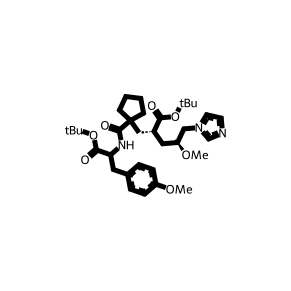 COc1ccc(CC(NC(=O)C2(C[C@@H](C[C@@H](Cn3ccnc3)OC)C(=O)OC(C)(C)C)CCCC2)C(=O)OC(C)(C)C)cc1